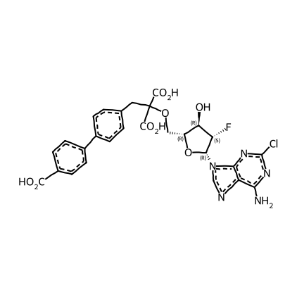 Nc1nc(Cl)nc2c1ncn2[C@@H]1O[C@H](COC(Cc2ccc(-c3ccc(C(=O)O)cc3)cc2)(C(=O)O)C(=O)O)[C@@H](O)[C@@H]1F